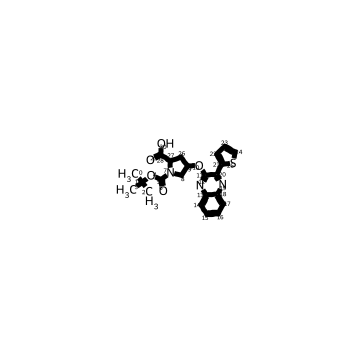 CC(C)(C)OC(=O)N1CC(Oc2nc3ccccc3nc2-c2cccs2)CC1C(=O)O